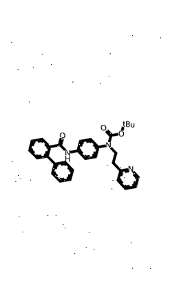 CC(C)(C)OC(=O)N(CCc1ccccn1)c1ccc(NC(=O)c2ccccc2-c2ccccc2)cc1